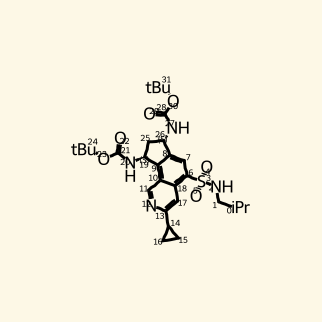 CC(C)CNS(=O)(=O)c1cc2c(c3cnc(C4CC4)cc13)[C@@H](NC(=O)OC(C)(C)C)C[C@@H]2NC(=O)OC(C)(C)C